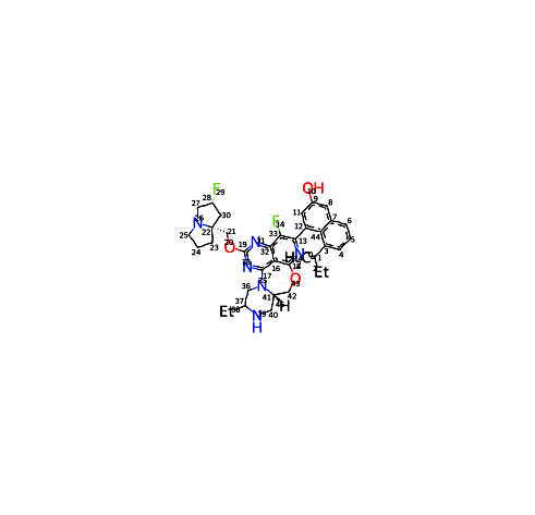 C=C(CC)c1cccc2cc(O)cc(-c3nc4c5c(nc(OC[C@]67CCCN6C[C@H](F)C7)nc5c3F)N3CC(CC)NC[C@H]3CO4)c12